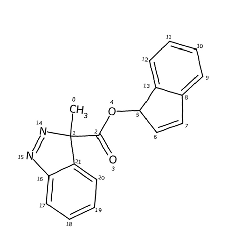 CC1(C(=O)OC2C=Cc3ccccc32)N=Nc2ccccc21